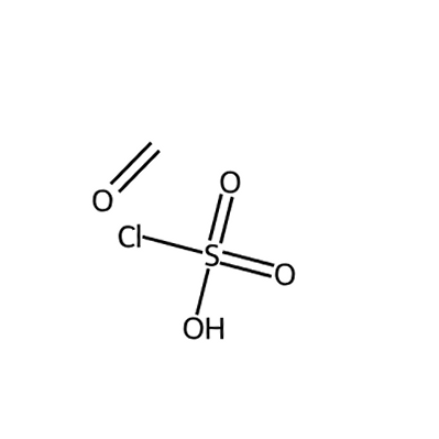 C=O.O=S(=O)(O)Cl